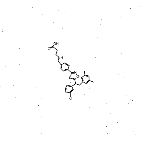 Cc1cc(C)cc(CC(c2cccc(Cl)c2)c2nc(-c3ccc(CNCCC(=O)O)cc3)no2)c1